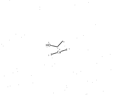 CCO.[I][Ca][I]